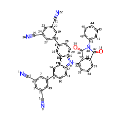 N#Cc1cc(C#N)cc(-c2ccc3c(c2)c2cc(-c4cc(C#N)cc(C#N)c4)ccc2n3-c2cccc3c2C(=O)N(c2ccccc2)C3=O)c1